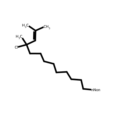 CCCCCCCCCCCCCCCCCCC(C)(Cl)C=C(C)C